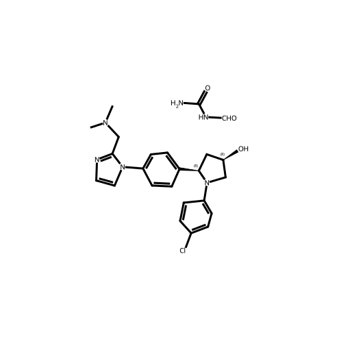 CN(C)Cc1nccn1-c1ccc([C@H]2C[C@@H](O)CN2c2ccc(Cl)cc2)cc1.NC(=O)NC=O